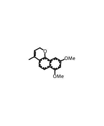 COc1cc(OC)c2ccc3c(c2c1)OCC=C3C